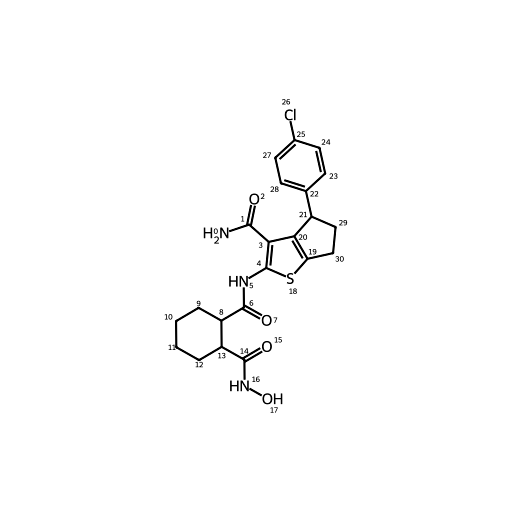 NC(=O)c1c(NC(=O)C2CCCCC2C(=O)NO)sc2c1C(c1ccc(Cl)cc1)CC2